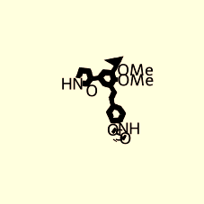 COc1c(C=Cc2ccc(NS(C)(=O)=O)cc2)cc(-c2ccc[nH]c2=O)cc1C1(OC)CC1